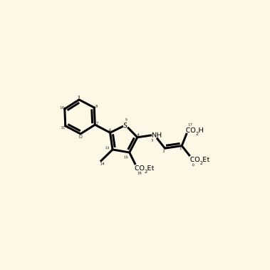 CCOC(=O)C(=CNc1sc(-c2ccccc2)c(C)c1C(=O)OCC)C(=O)O